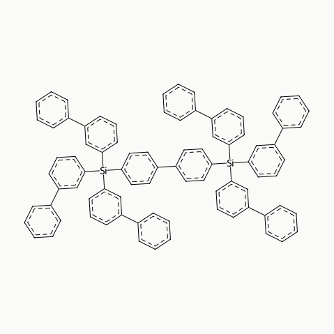 c1ccc(-c2cccc([Si](c3ccc(-c4ccc([Si](c5cccc(-c6ccccc6)c5)(c5cccc(-c6ccccc6)c5)c5cccc(-c6ccccc6)c5)cc4)cc3)(c3cccc(-c4ccccc4)c3)c3cccc(-c4ccccc4)c3)c2)cc1